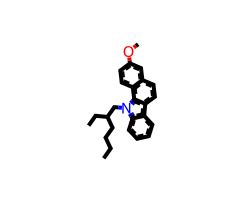 CCCCC(CC)Cn1c2ccccc2c2ccc3cc(OC)ccc3c21